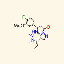 C=NN(C)/C(=C\C)c1cnn2c(=O)cc(-c3ccc(F)c(OC)c3)[nH]c12